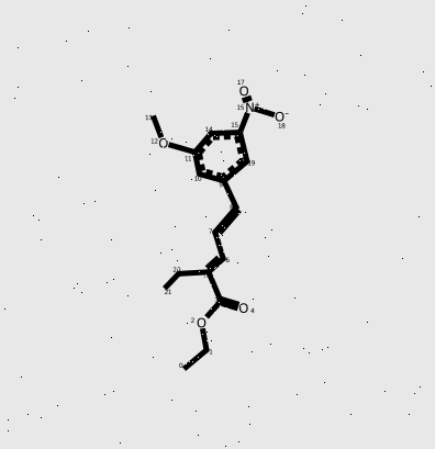 CCOC(=O)/C(=C/C=Cc1cc(OC)cc([N+](=O)[O-])c1)CC